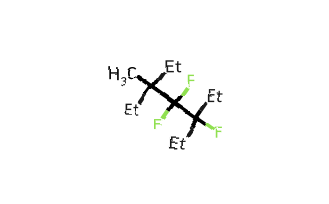 CCC(C)(CC)C(F)(F)C(F)(CC)CC